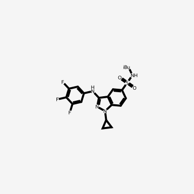 CCC(C)NS(=O)(=O)c1ccc2c(c1)c(Nc1cc(F)c(F)c(F)c1)nn2C1CC1